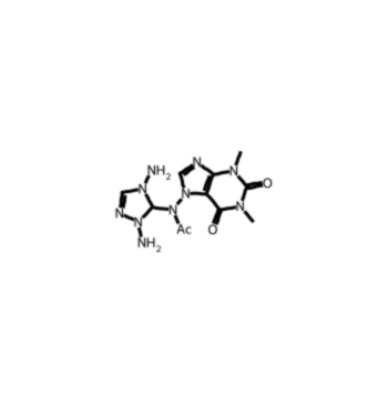 CC(=O)N(C1N(N)C=NN1N)n1cnc2c1c(=O)n(C)c(=O)n2C